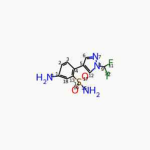 Nc1ccc(-c2cnn(C(F)F)c2)c(S(N)(=O)=O)c1